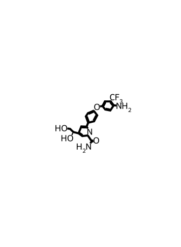 NC(=O)c1cc([C@@H](O)CO)cc(-c2ccc(Oc3ccc(N)c(C(F)(F)F)c3)cc2)n1